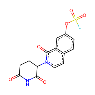 O=C1CCC(n2ccc3ccc(OS(=O)(=O)F)cc3c2=O)C(=O)N1